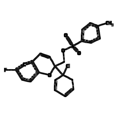 Cc1ccc(S(=O)(=O)OCC2(C3(Cl)C=CC=CC3)C=Cc3cc(F)ccc3O2)cc1